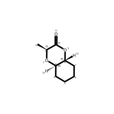 C[C@@H]1O[C@@H]2CCCC[C@H]2OC1=O